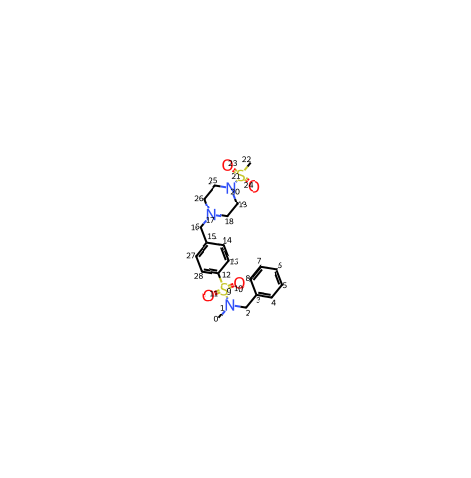 CN(Cc1ccccc1)S(=O)(=O)c1ccc(CN2CCN(S(C)(=O)=O)CC2)cc1